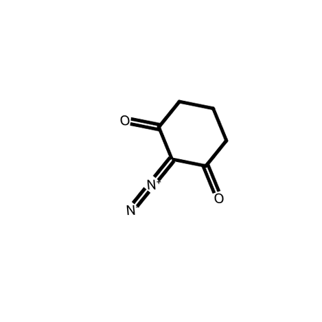 [N-]=[N+]=C1C(=O)CCCC1=O